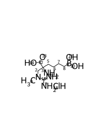 CN(CC(N)(CCCCB(O)O)C(=O)O)C(=N)N.Cl